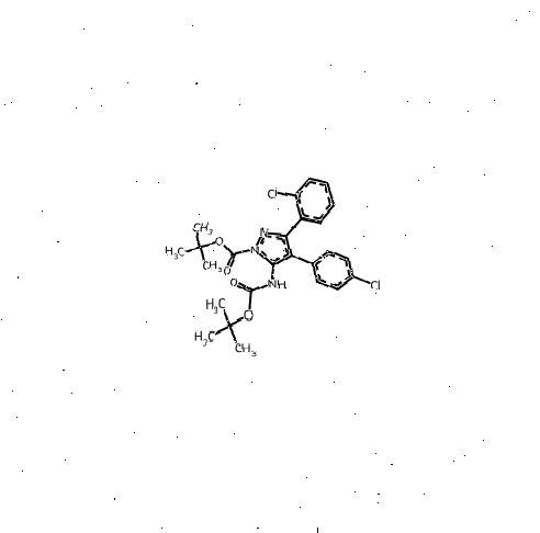 CC(C)(C)OC(=O)Nc1c(-c2ccc(Cl)cc2)c(-c2ccccc2Cl)nn1C(=O)OC(C)(C)C